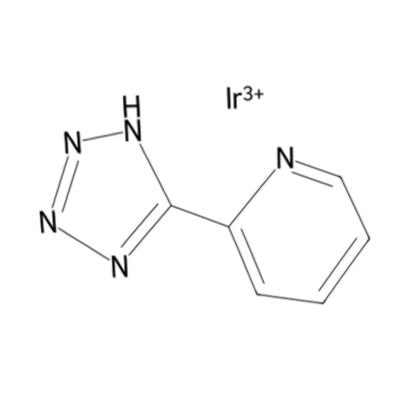 [Ir+3].c1ccc(-c2nnn[nH]2)nc1